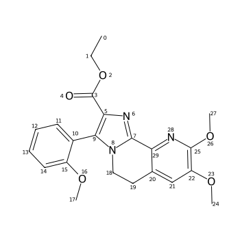 CCOC(=O)c1nc2n(c1-c1ccccc1OC)CCc1cc(OC)c(OC)nc1-2